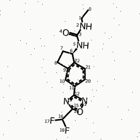 CCNC(=O)N[C@@H]1CCc2cc(-c3noc(C(F)F)n3)ccc21